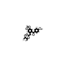 COc1ccc(C(=O)c2cc3c(cc2CC(=O)OC(C)C(C)=O)OCO3)cc1